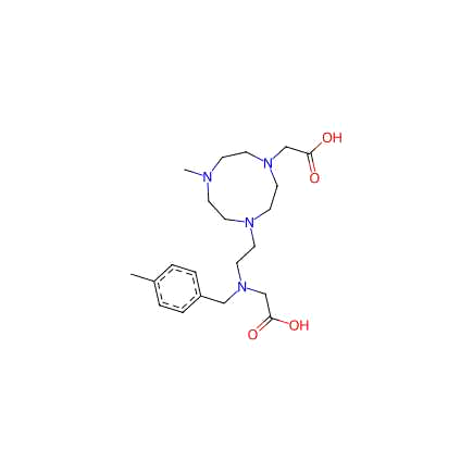 Cc1ccc(CN(CCN2CCN(C)CCN(CC(=O)O)CC2)CC(=O)O)cc1